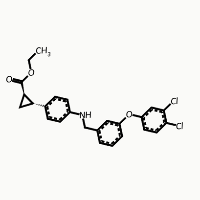 CCOC(=O)[C@@H]1C[C@H]1c1ccc(NCc2cccc(Oc3ccc(Cl)c(Cl)c3)c2)cc1